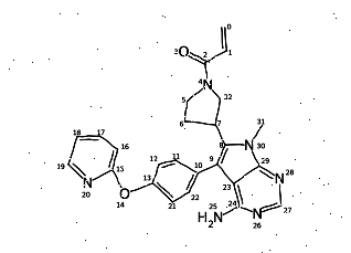 C=CC(=O)N1CCC(c2c(-c3ccc(Oc4ccccn4)cc3)c3c(N)ncnc3n2C)C1